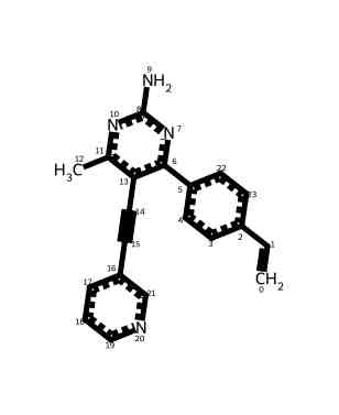 C=Cc1ccc(-c2nc(N)nc(C)c2C#Cc2cccnc2)cc1